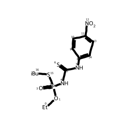 CCOP(=O)(NC(=S)Nc1ccc([N+](=O)[O-])cc1)SC(C)CC